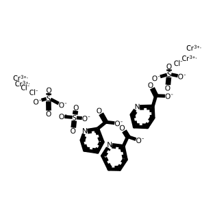 O=C([O-])c1ccccn1.O=C([O-])c1ccccn1.O=C([O-])c1ccccn1.O=S(=O)([O-])[O-].O=S(=O)([O-])[O-].O=S(=O)([O-])[O-].[Cl-].[Cl-].[Cl-].[Cr+3].[Cr+3].[Cr+3].[Cr+3]